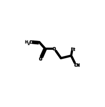 C=CC(=O)OCC(C#N)CC